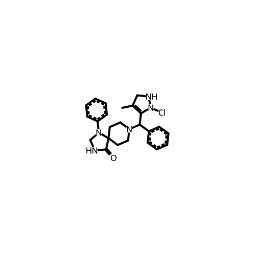 CC1=C(C(c2ccccc2)N2CCC3(CC2)C(=O)NCN3c2ccccc2)N(Cl)NC1